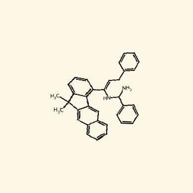 CC1(C)c2cc3ccccc3cc2-c2c(/C(=C/Cc3ccccc3)NC(N)c3ccccc3)cccc21